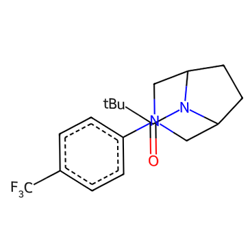 CC(C)(C)C(=O)N1C2CCC1CN(c1ccc(C(F)(F)F)cc1)C2